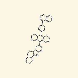 C1=CCC2C(=C1)C(C1=CC=C3OC4=C(C=CC5C=CC=CC45)C3C1)=C1C=CCCC1=C2c1ccc(-c2cccc3ccccc23)cc1